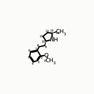 COc1ccccc1CC[C@H]1CC[C@@H](C)N1